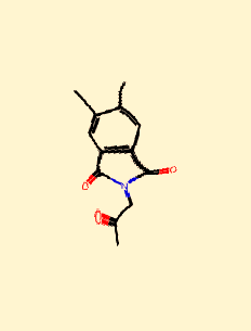 CC(=O)CN1C(=O)c2cc(C)c(C)cc2C1=O